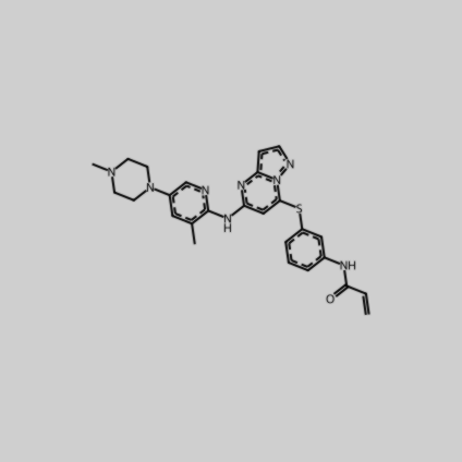 C=CC(=O)Nc1cccc(Sc2cc(Nc3ncc(N4CCN(C)CC4)cc3C)nc3ccnn23)c1